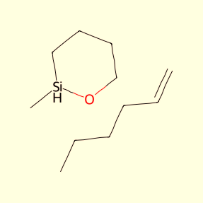 C=CCCCC.C[SiH]1CCCCO1